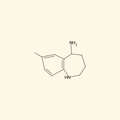 Cc1ccc2c(c1)C(N)CCCN2